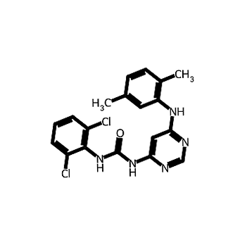 Cc1ccc(C)c(Nc2cc(NC(=O)Nc3c(Cl)cccc3Cl)ncn2)c1